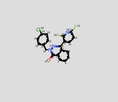 O=c1c2ccccc2c(-c2ccc(F)nc2F)nn1Cc1ccc(Cl)cc1